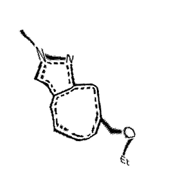 CCOc1ccc2cn(C)nc2c1